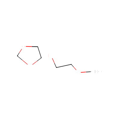 C1COCO1.O=COCCO